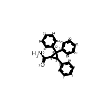 NC(=O)C1C(c2ccccc2)C1(c1ccccc1)c1ccccc1